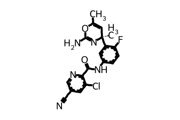 CC1=C[C@@](C)(c2cc(NC(=O)c3ncc(C#N)cc3Cl)ccc2F)N=C(N)O1